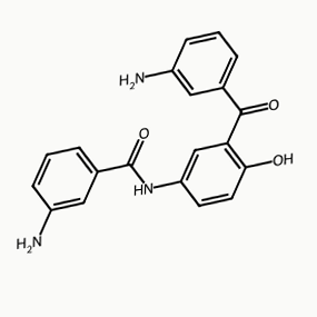 Nc1cccc(C(=O)Nc2ccc(O)c(C(=O)c3cccc(N)c3)c2)c1